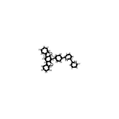 c1ccc(-c2cccc(-c3ccc(-c4c5oc6ccccc6c5cc5c4oc4ccccc45)cc3)n2)nc1